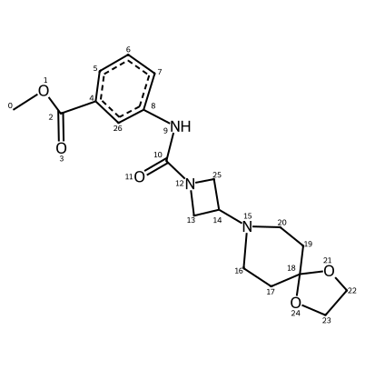 COC(=O)c1cccc(NC(=O)N2CC(N3CCC4(CC3)OCCO4)C2)c1